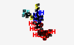 CSCCNc1nc(SCCC(F)(F)F)nc2c1ncn2[C@@H]1O[C@H](COP(=O)(O)OP(=O)(O)OP(C)(=O)O)[C@@H](O)[C@H]1O